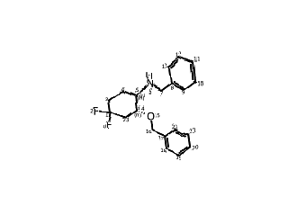 FC1(F)CC[C@@H](NCc2ccccc2)[C@H](OCc2ccccc2)C1